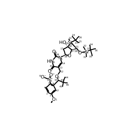 COc1ccc([N+](=O)[O-])c([C@@H](OCc2cn([C@H]3C[C@@](O)([Si](C)(C)C(C)(C)C)[C@@H](CO[Si](C)(C)C(C)(C)C)O3)c(=O)[nH]c2=O)C(C)(C)C)c1